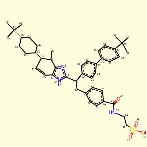 CC1c2nc(C(Cc3ccc(C(=O)NCCS(=O)(=O)O)cc3)c3ccc(-c4ccc(C(C)(C)C)cc4)cc3)[nH]c2C=CC1[C@H]1CC[C@@H](C(C)(C)C)CC1